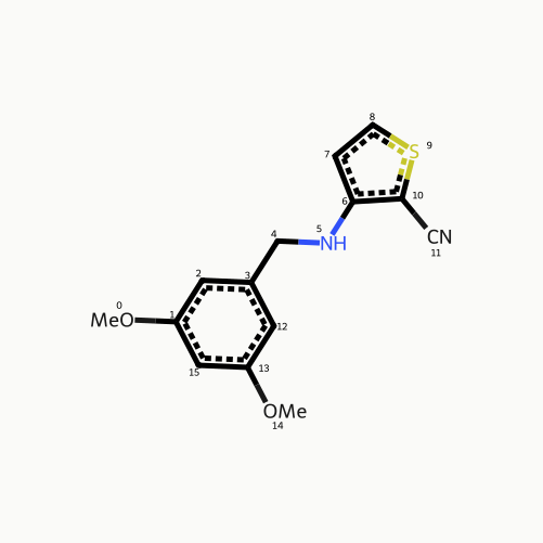 COc1cc(CNc2ccsc2C#N)cc(OC)c1